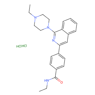 CCNC(=O)c1ccc(-c2cc3ccccc3c(N3CCN(CC)CC3)n2)cc1.Cl.Cl